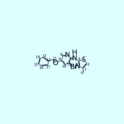 Cc1csc(Nc2ncc(OCc3ccccc3)cc2Br)n1